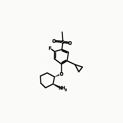 CS(=O)(=O)c1cc(C2CC2)c(O[C@H]2CCCC[C@@H]2N)cc1F